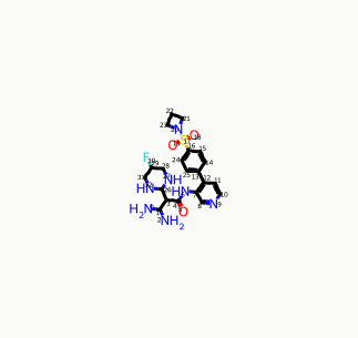 NC(N)C(C(=O)Nc1cnccc1-c1ccc(S(=O)(=O)N2CCC2)cc1)C1NCC(F)CN1